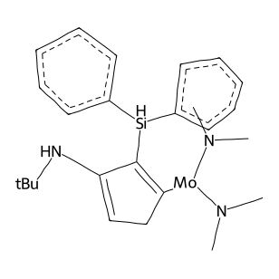 C[N](C)[Mo]([C]1=C([SiH](c2ccccc2)c2ccccc2)C(NC(C)(C)C)=CC1)[N](C)C